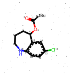 CC(C)(C)C(=O)OC1CCCNc2ccc(Cl)cc21